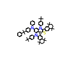 CC(C)(C)c1ccc(N2c3cc4c(cc3B3c5sc6cc7c(cc6c5N(c5ccc(C(C)(C)C)cc5)c5cc(N(c6ccccc6)c6ccc(C(C)(C)c8ccccc8)cc6)cc2c53)C(C)(C)CCC7(C)C)C(C)(C)CCC4(C)C)cc1